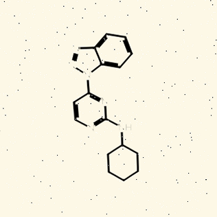 c1ccc2c(c1)nnn2-c1ccnc(NC2CCCCC2)n1